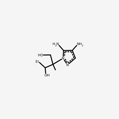 CCC(O)C(C)(CO)n1ncc(N)c1N